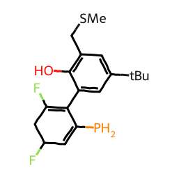 CSCc1cc(C(C)(C)C)cc(C2=C(F)CC(F)C=C2P)c1O